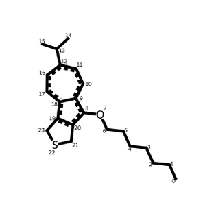 CCCCCCCOc1c2ccc(C(C)C)ccc-2c2c1CSC2